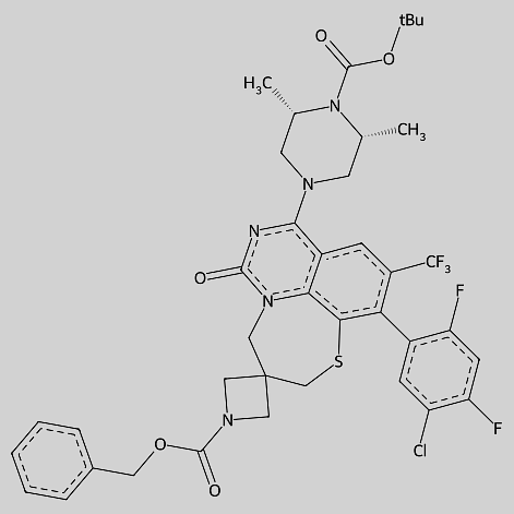 C[C@@H]1CN(c2nc(=O)n3c4c(c(-c5cc(Cl)c(F)cc5F)c(C(F)(F)F)cc24)SCC2(CN(C(=O)OCc4ccccc4)C2)C3)C[C@H](C)N1C(=O)OC(C)(C)C